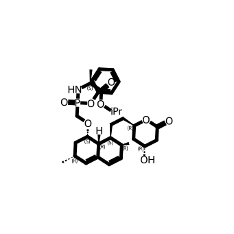 CC(C)OC(=O)[C@H](C)NP(=O)(CO[C@H]1C[C@@H](C)C=C2C=C[C@H](C)[C@H](CC[C@@H]3C[C@@H](O)CC(=O)O3)[C@H]21)Oc1ccccc1